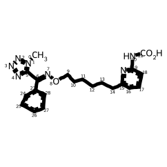 Cn1nnnc1C(=NOCCCCCCc1cccc(NC(=O)O)n1)c1ccccc1